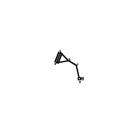 OCC1C#C1